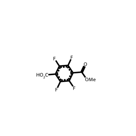 COC(=O)c1c(F)c(F)c(C(=O)O)c(F)c1F